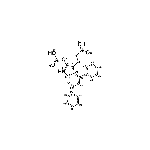 O=C(O)CCc1c(OC(=O)O)[nH]c2cc(-c3ccccc3)cc(-c3ccccc3)c12